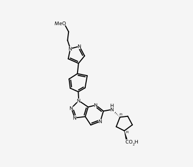 COCCn1cc(-c2ccc(-n3nnc4cnc(N[C@@H]5CC[C@@H](C(=O)O)C5)nc43)cc2)cn1